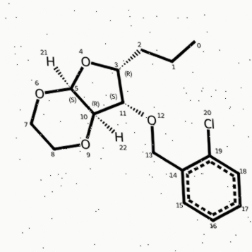 CCC[C@H]1O[C@@H]2OCCO[C@@H]2[C@H]1OCc1ccccc1Cl